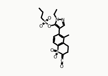 CCCS(=O)(=O)Oc1c(-c2ccc3c(c2C)CCC(=C=O)S3(=O)=O)cnn1CC